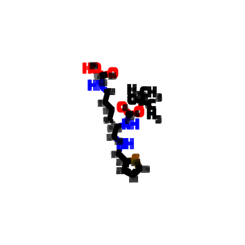 CC(C)(C)OC(=O)N[C@@H](CCCCNC(=O)O)CNCc1cccs1